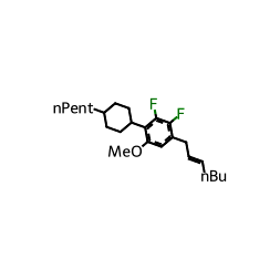 CCCCC=CCc1cc(OC)c(C2CCC(CCCCC)CC2)c(F)c1F